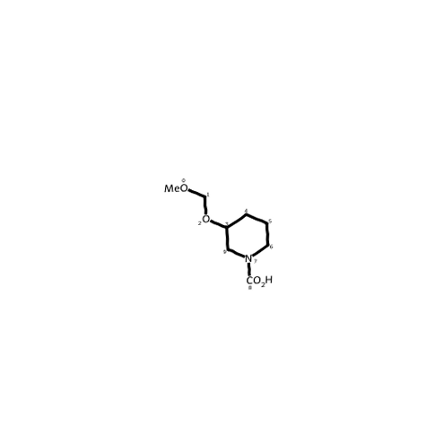 COCOC1CCCN(C(=O)O)C1